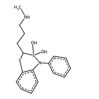 CNCCCC1Sc2ccccc2N(c2ccccc2)S1(O)O